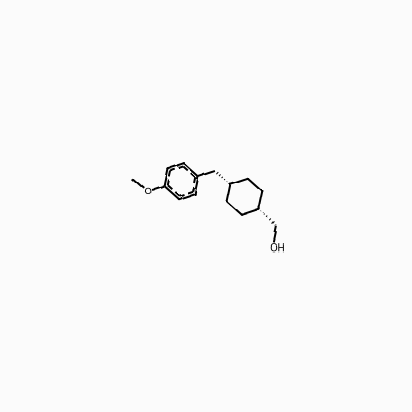 COc1ccc(C[C@H]2CC[C@@H](CO)CC2)cc1